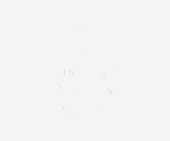 COCCOC1CCCN(C2CC(c3ccnc4cnc5[nH]ccc5c34)CC[N]2)C1